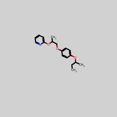 CCC(C)Oc1ccc(OCC(C)Oc2ccccn2)cc1